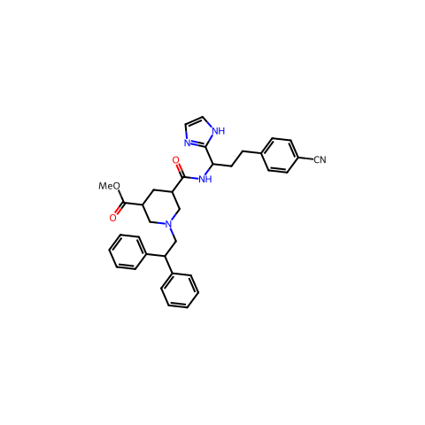 COC(=O)C1CC(C(=O)NC(CCc2ccc(C#N)cc2)c2ncc[nH]2)CN(CC(c2ccccc2)c2ccccc2)C1